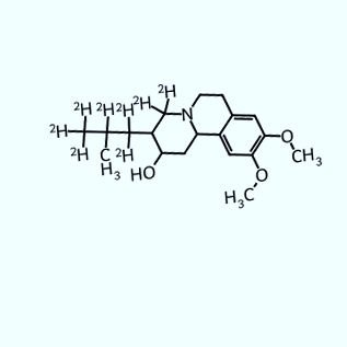 [2H]C1([2H])C(C([2H])([2H])C([2H])(C)C([2H])([2H])[2H])C(O)CC2c3cc(OC)c(OC)cc3CCN21